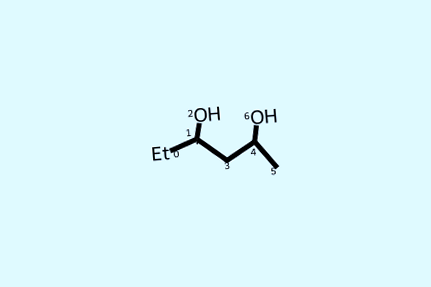 CC[C](O)CC(C)O